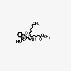 CCCCCCN1C(NC(=O)c2ccccc2C(=O)O)=CNC1CCCC(=O)OC